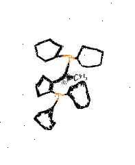 C[C@@H](C1=C(P(c2ccccc2)c2ccccc2)CC=C1)P(C1CCCCC1)C1CCCCC1